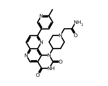 Cc1ccc(-c2ccc3ncc4c(=O)[nH]c(=O)n(C5CCN(CC(N)=O)CC5)c4c3n2)cn1